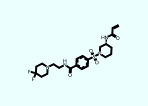 C=CC(=O)N[C@H]1CCCN(S(=O)(=O)c2ccc(C(=O)NCCN3CCC(F)(F)CC3)cc2)C1